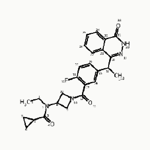 CCN(C(=O)C1CC1)C1CN(C(=O)c2cc(C(C)c3n[nH]c(=O)c4ccccc34)ccc2F)C1